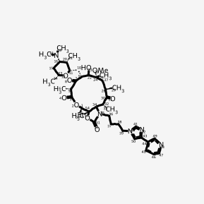 CC[C@H]1OC(=O)[C@H](C)C(=O)[C@H](C[C@@H]2O[C@H](C)C[C@H](N(C)C)[C@@H]2C)C(O)[C@](C)(OC)C[C@@H](C)C(=O)[C@H](C)C2N(CCCCn3cnc(-c4cccnc4)c3)C(=O)O[C@@]21C